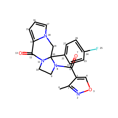 Cc1nocc1C(=O)N1CCN2C(=O)c3cccn3CC12c1ccc(F)cc1